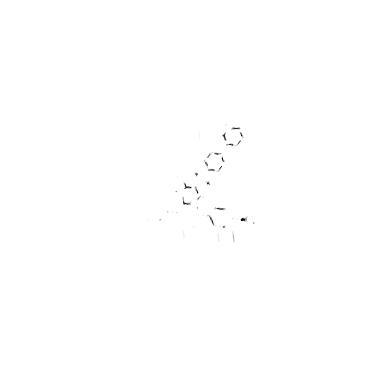 CCCCc1nc(=O)c(S(=O)(=O)c2ccc(-c3ccc(F)nc3C)cc2)c(O)n1[C@@H](CC)C1=CC(F)(CCC)C(C#N)C=C1